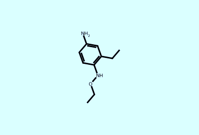 CCONc1ccc(N)cc1CC